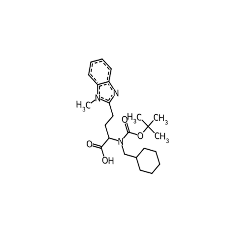 Cn1c(CCC(C(=O)O)N(CC2CCCCC2)C(=O)OC(C)(C)C)nc2ccccc21